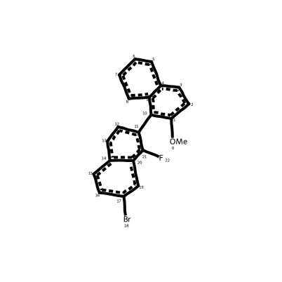 COc1ccc2ccccc2c1-c1ccc2ccc(Br)cc2c1F